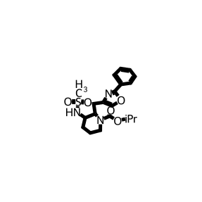 CC(C)OC(=O)N1CCCC(NS(C)(=O)=O)C1Cc1coc(-c2ccccc2)n1